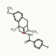 COc1ccc2c(c1)C1(C)CCN(C)C(C2)C1=NNC(=O)c1ccc(F)cc1